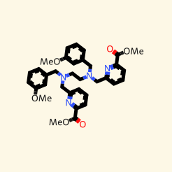 COC(=O)c1cccc(CN(CCN(Cc2cccc(OC)c2)Cc2cccc(C(=O)OC)n2)Cc2cccc(OC)c2)n1